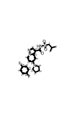 CC(C)CS(=O)(=O)NC(=O)c1cnn2ccc(N3CCC[C@@H]3c3cc(F)ccc3F)cc12